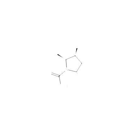 CCOC(=O)C(=O)N1CC[C@H](C(=O)O)[C@@H]1C